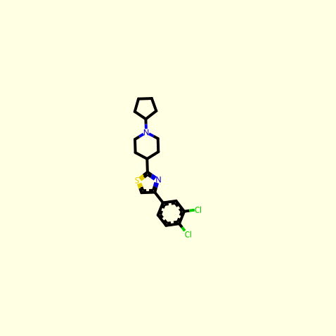 Clc1ccc(-c2csc(C3CCN(C4CCCC4)CC3)n2)cc1Cl